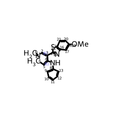 C=N/C=C(\C(=C/C)Nc1ccccc1)c1nc2cc(OC)ccc2s1